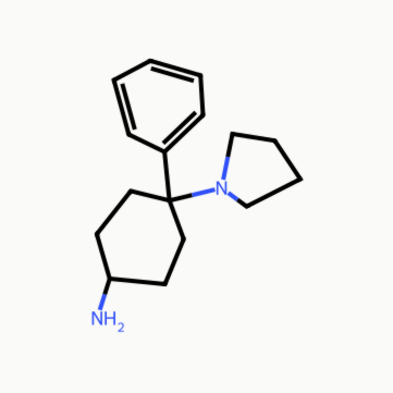 NC1CCC(c2ccccc2)(N2CCCC2)CC1